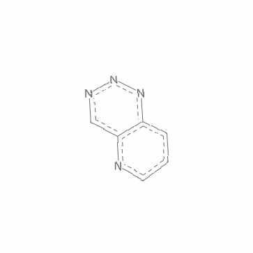 c1cnc2cnnnc2c1